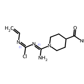 C=C/N=C(Cl)\N=C(/N)N1CCC(C(N)=O)CC1